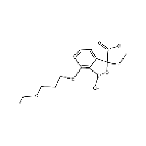 CCOCCCOc1cccc2c1B(O)OC2(CC)[N+](=O)[O-]